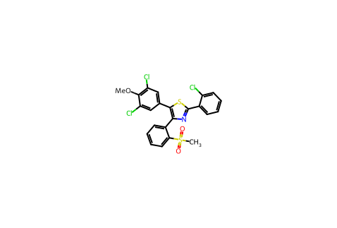 COc1c(Cl)cc(-c2sc(-c3ccccc3Cl)nc2-c2ccccc2S(C)(=O)=O)cc1Cl